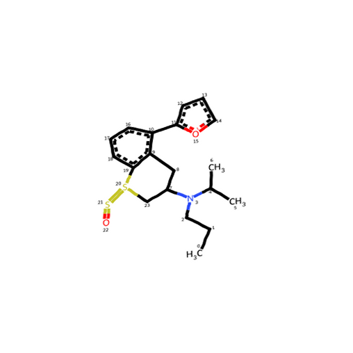 CCCN(C(C)C)C1Cc2c(-c3ccco3)cccc2S(=S=O)C1